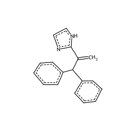 C=C(c1ncc[nH]1)C(c1ccccc1)c1ccccc1